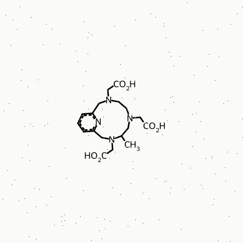 CC1CN(CC(=O)O)CCN(CC(=O)O)Cc2cccc(n2)CN1CC(=O)O